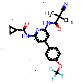 CC(C)(C#N)C(=O)Nc1cc(-c2ccc(OC(F)(F)F)cc2)cc(NC(=O)C2CC2)n1